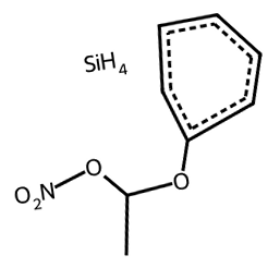 CC(Oc1ccccc1)O[N+](=O)[O-].[SiH4]